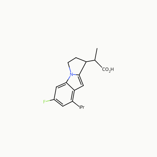 CC(C)c1cc(F)cc2c1cc1n2CCC1C(C)C(=O)O